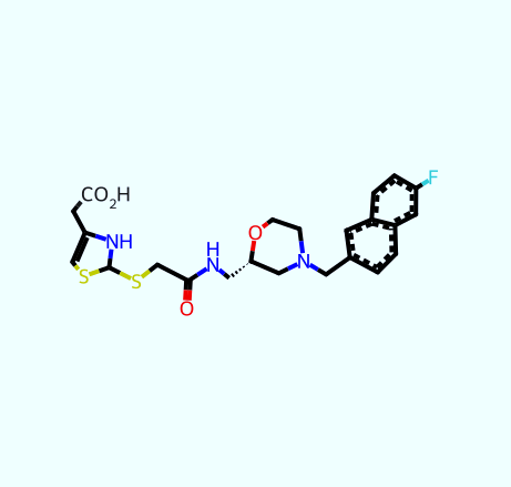 O=C(O)CC1=CSC(SCC(=O)NC[C@H]2CN(Cc3ccc4cc(F)ccc4c3)CCO2)N1